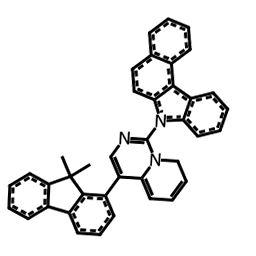 CC1(C)c2ccccc2-c2cccc(C3=CN=C(n4c5ccccc5c5c6ccccc6ccc54)N4CC=CC=C34)c21